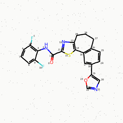 O=C(Nc1c(F)cccc1F)c1nc2c(s1)-c1cc(-c3cnco3)ccc1CCC2